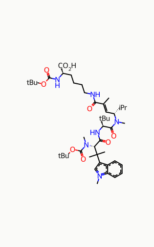 C/C(=C\[C@H](C(C)C)N(C)C(=O)[C@@H](NC(=O)[C@@H](N(C)C(=O)OC(C)(C)C)C(C)(C)c1cn(C)c2ccccc12)C(C)(C)C)C(=O)NCCCC[C@@H](NC(=O)OC(C)(C)C)C(=O)O